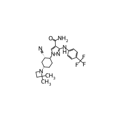 CC1(C)CCN1[C@H]1CC[C@H](n2cc(C(N)=O)c(Nc3ccc(C(F)(F)F)cc3)n2)[C@@H](C#N)C1